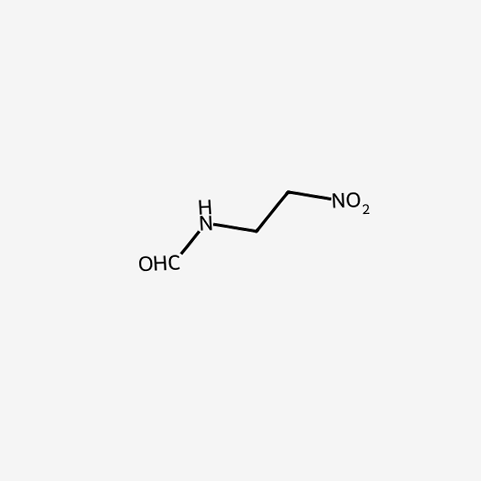 O=CNCC[N+](=O)[O-]